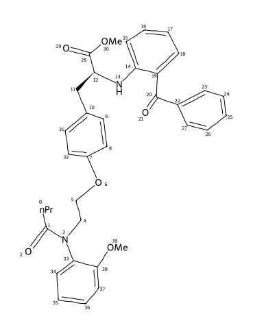 CCCC(=O)N(CCOc1ccc(C[C@H](Nc2ccccc2C(=O)c2ccccc2)C(=O)OC)cc1)c1ccccc1OC